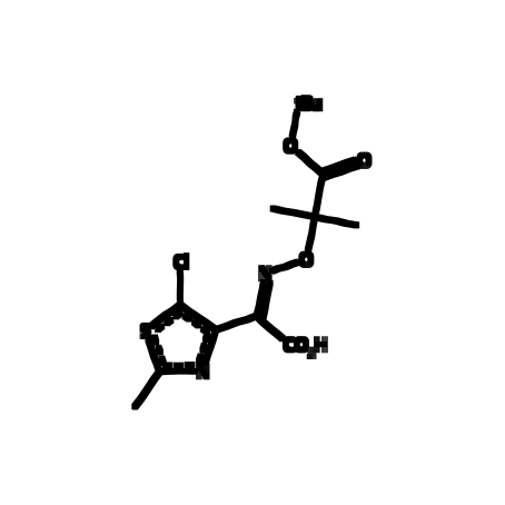 Cc1nc(/C(=N/OC(C)(C)C(=O)OC(C)(C)C)C(=O)O)c(Cl)s1